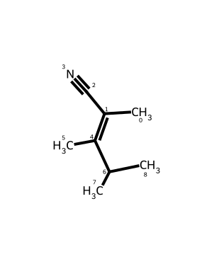 C/C(C#N)=C(/C)C(C)C